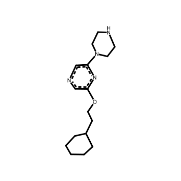 c1ncc(N2CCNCC2)nc1OCCC1CCCCC1